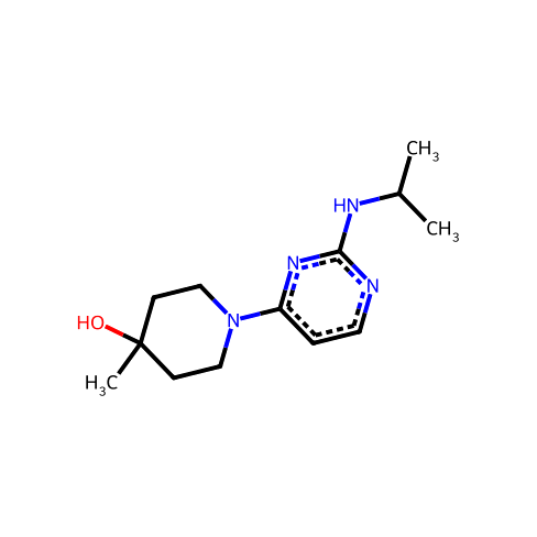 CC(C)Nc1nccc(N2CCC(C)(O)CC2)n1